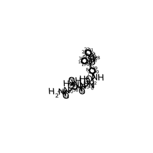 CN(CC(=O)Nc1ccc(CO[Si](c2ccccc2)(c2ccccc2)C(C)(C)C)cc1)C(=O)CNC(=O)C(CCCNC(N)=O)NC(=O)O